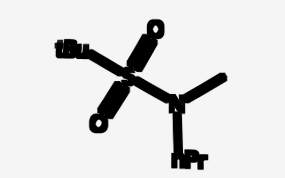 CCCN(C)S(=O)(=O)C(C)(C)C